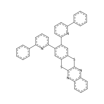 c1ccc(-c2cccc(-c3cc4c(cc3-c3cccc(-c5ccccc5)n3)Sc3nc5ccccc5nc3S4)n2)cc1